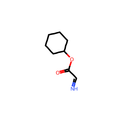 N=CC(=O)OC1CCCCC1